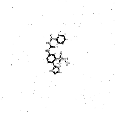 C[C@H](NC(=O)Nc1ccc(-c2cn[c]s2)c(S(=O)(=O)NC(C)(C)C)c1)c1ccccn1